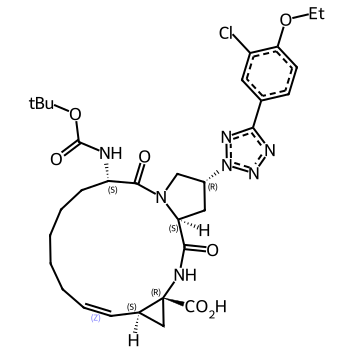 CCOc1ccc(-c2nnn([C@@H]3C[C@H]4C(=O)N[C@]5(C(=O)O)C[C@H]5/C=C\CCCCC[C@H](NC(=O)OC(C)(C)C)C(=O)N4C3)n2)cc1Cl